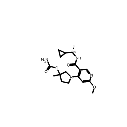 COc1cc(N2CCC(C)(OC(N)=O)C2)c(C(=O)N[C@@H](C)C2CC2)cn1